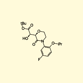 CC(C)Oc1ccc(F)cc1N1CCO[C@H]([C@@H](O)C(=O)OC(C)(C)C)C1=O